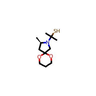 C[C@@H]1CC2(CN1C(C)(C)S)OCCCO2